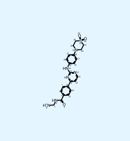 NCNC(=O)c1ccc(-c2ccnc(Nc3ccc(N4CCS(=O)(=O)CC4)cc3)n2)cc1